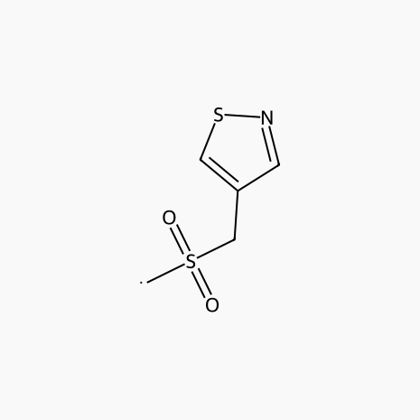 [CH2]S(=O)(=O)Cc1cnsc1